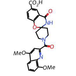 COc1cc(C(=O)N2CCC3(CC2)NC(=O)c2cc(C(=O)O)ccc2O3)nc2c(OC)cccc12